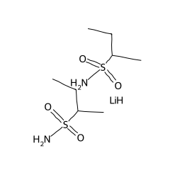 CCC(C)S(N)(=O)=O.CCC(C)S(N)(=O)=O.[LiH]